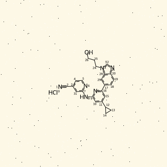 Cl.N#Cc1ccnc(Nc2cc(C3CC3)cc(-c3ccc4ncn(CCCO)c4c3)n2)c1